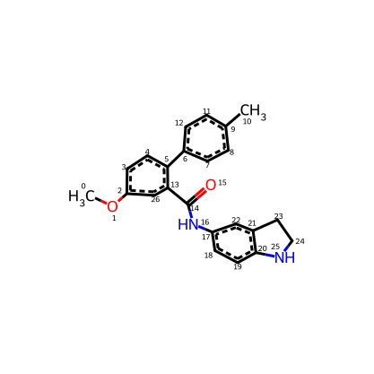 COc1ccc(-c2ccc(C)cc2)c(C(=O)Nc2ccc3c(c2)CCN3)c1